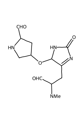 CNC(C=O)CC1=NC(=O)NC1OC1CNC(C=O)C1